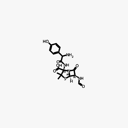 CC1(C)S[C@@H]2[C@H](NC=O)C(=O)N2[C@@]1(NC(=O)C(N)c1ccc(O)cc1)C(=O)O